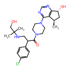 C[C@@H]1C[C@@H](O)c2ncnc(N3CCN(C(=O)C(CNC(C)(C)CO)c4ccc(Cl)cc4)CC3)c21